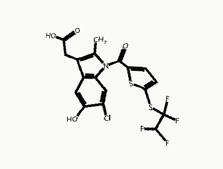 Cc1c(CC(=O)O)c2cc(O)c(Cl)cc2n1C(=O)c1ccc(SC(F)(F)C(F)F)s1